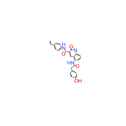 C=Cc1ccc(NC(=O)c2cc3c(NC(=O)Cc4ccc(O)cc4)cccc3n(C)c2=O)cc1